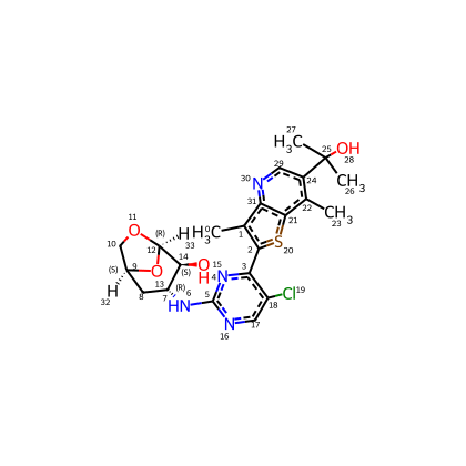 Cc1c(-c2nc(N[C@@H]3C[C@H]4CO[C@H](O4)[C@H]3O)ncc2Cl)sc2c(C)c(C(C)(C)O)cnc12